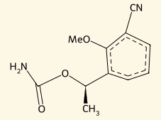 COc1c(C#N)cccc1[C@@H](C)OC(N)=O